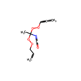 C=C=COOC(C)(N=C=O)OOCC=C